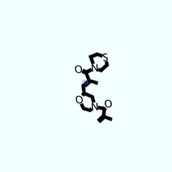 C=C(C)C(=O)N1CCOC(/C=C(\C)C(=O)N2CCSCC2)C1